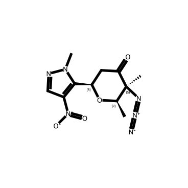 C[C@H]1O[C@@H](c2c([N+](=O)[O-])cnn2C)CC(=O)[C@@]1(C)N=[N+]=[N-]